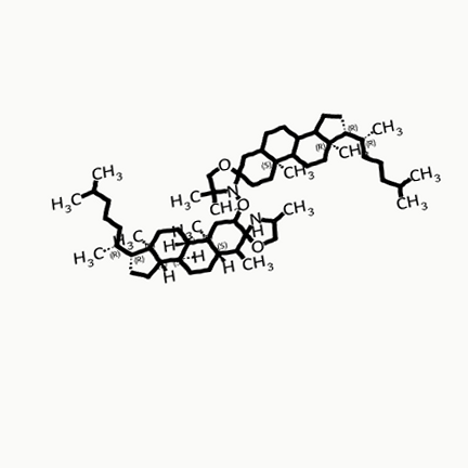 CC(C)CCC[C@@H](C)[C@H]1CC[C@H]2[C@@H]3CC[C@H]4C(C)C5(NC(C)CO5)C(ON5C(C)(C)COC56CC[C@@]5(C)C(CCC7C5CC[C@@]5(C)C7CC[C@@H]5[C@H](C)CCCC(C)C)C6)C[C@]4(C)[C@H]3CC[C@]12C